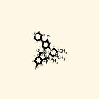 C[C@@H]1CN(c2cc(F)c(C3=CCNCC3)cc2NC(=O)c2ccc(F)cc2C(F)(F)F)C[C@H](C)N1C